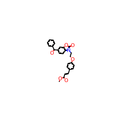 COC(=O)C=Cc1ccc(OCCn2c(=O)oc3cc(C(=O)c4ccccc4)ccc32)cc1